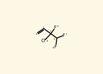 C=CC(F)(Cl)C(F)F